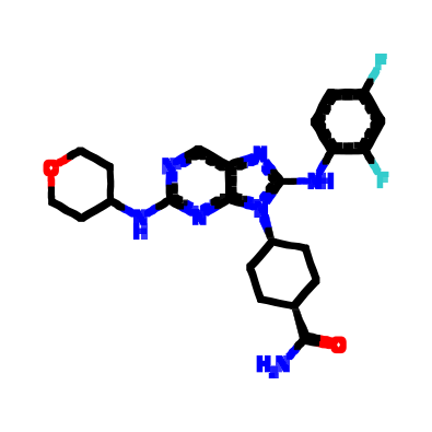 NC(=O)[C@H]1CC[C@@H](n2c(Nc3ccc(F)cc3F)nc3cnc(NC4CCOCC4)nc32)CC1